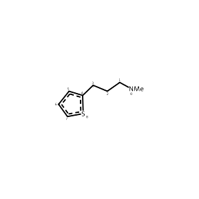 CNCC[CH]c1cccs1